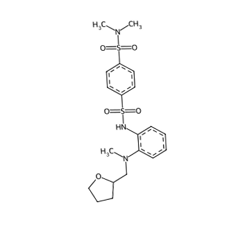 CN(CC1CCCO1)c1ccccc1NS(=O)(=O)c1ccc(S(=O)(=O)N(C)C)cc1